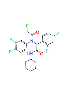 O=C(NC1CCCCC1)C(c1ccc(F)cc1F)N(C(=O)CCl)c1ccc(F)c(F)c1